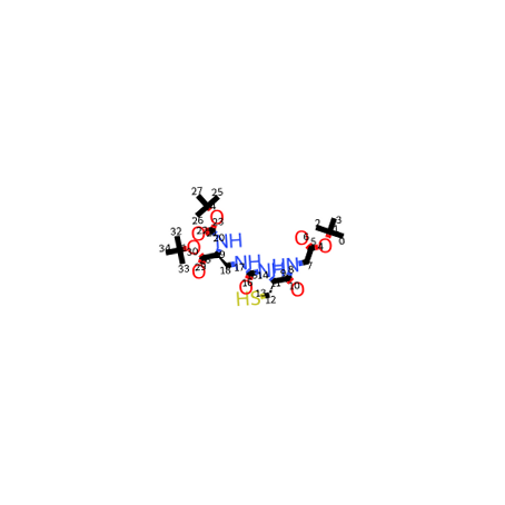 CC(C)(C)OC(=O)CNC(=O)[C@H](CS)NC(=O)NC[C@H](NC(=O)OC(C)(C)C)C(=O)OC(C)(C)C